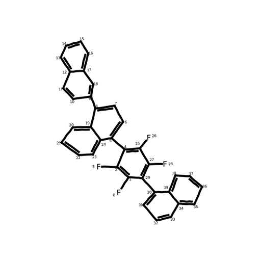 Fc1c(F)c(-c2ccc(-c3ccc4ccccc4c3)c3ccccc23)c(F)c(F)c1-c1cccc2ccccc12